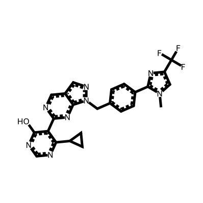 Cn1cc(C(F)(F)F)nc1-c1ccc(Cn2ncc3cnc(-c4c(O)ncnc4C4CC4)nc32)cc1